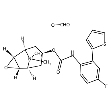 C[N+]1(C)[C@@H]2C[C@@H](OC(=O)Nc3ccc(F)cc3-c3cccs3)C[C@H]1[C@@H]1O[C@@H]12.O=C[O-]